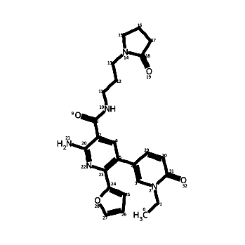 CCn1cc(-c2cc(C(=O)NCCCN3CCCC3=O)c(N)nc2-c2ccco2)ccc1=O